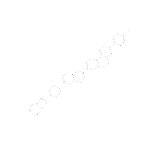 C[Si](C)(C)c1ccc(-c2ccc3c(ccc4cc(-c5ccc6cc(-c7ccc(-c8nc9ccccc9s8)cc7)ccc6c5)ccc43)c2)cc1